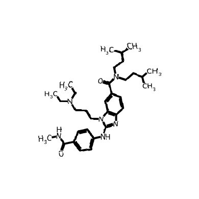 CCN(CC)CCCn1c(Nc2ccc(C(=O)NC)cc2)nc2ccc(C(=O)N(CCC(C)C)CCC(C)C)cc21